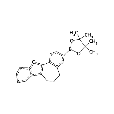 CC1(C)OB(c2ccc3c(c2)CCCc2c-3oc3ccccc23)OC1(C)C